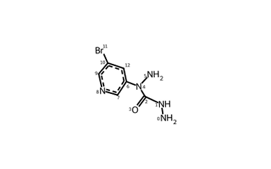 NNC(=O)N(N)c1cncc(Br)c1